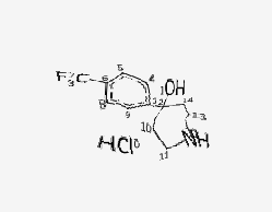 Cl.OC1(c2ccc(C(F)(F)F)cc2)CCNCC1